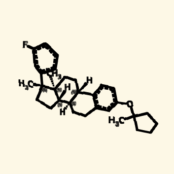 CC1(Oc2ccc3c(c2)CC[C@@H]2[C@@H]3CC[C@@]3(C)[C@H]2CC[C@]3(C)c2cccc(F)c2)CCCC1